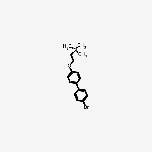 C[Si](C)(C)CCOc1ccc(-c2ccc(Br)cc2)cc1